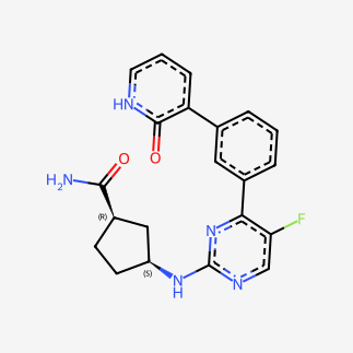 NC(=O)[C@@H]1CC[C@H](Nc2ncc(F)c(-c3cccc(-c4ccc[nH]c4=O)c3)n2)C1